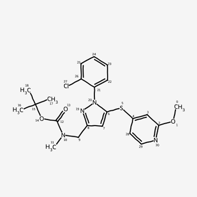 COc1cc(Sc2cc(CN(C)C(=O)OC(C)(C)C)nn2-c2ccccc2Cl)ccn1